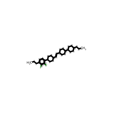 CCCc1ccc(C2CCC(/C=C/C3CCC(C4CCC(CCC)CC4)CC3)CC2)c(F)c1F